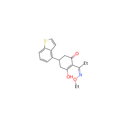 CCO/N=C(/CC)C1=C(O)CC(c2cccc3sccc23)CC1=O